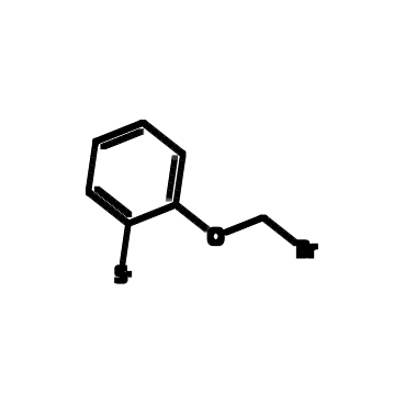 [S]c1ccccc1OCBr